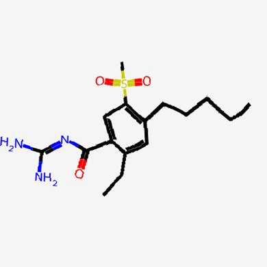 CCCCCc1cc(CC)c(C(=O)N=C(N)N)cc1S(C)(=O)=O